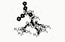 CCOSCCCNC(=O)OCC(COC(=O)NCCC[Si](OCC)(OCC)OCC)(COC(=O)NCCC[Si](OCC)(OCC)OCC)COC(=O)C(C)Oc1ccc(-c2nc(-c3ccc(-c4ccccc4)cc3)nc(-c3ccc(-c4ccccc4)cc3)n2)c(O)c1